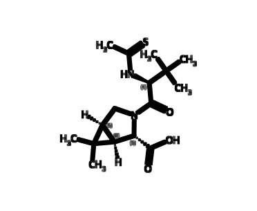 CC(=S)N[C@H](C(=O)N1C[C@H]2[C@@H]([C@H]1C(=O)O)C2(C)C)C(C)(C)C